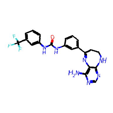 Nc1ncnc2c1N=C(c1cccc(NC(=O)Nc3cccc(C(F)(F)F)c3)c1)CCN2